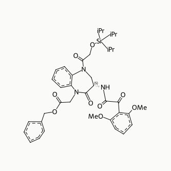 COc1cccc(OC)c1C(=O)C(=O)N[C@H]1CN(C(=O)CO[Si](C(C)C)(C(C)C)C(C)C)c2ccccc2N(CC(=O)OCc2ccccc2)C1=O